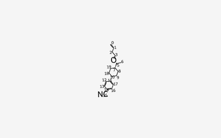 C=CCCOC(C)[C@H]1CC[C@H](c2ccc(C#N)cc2)CC1